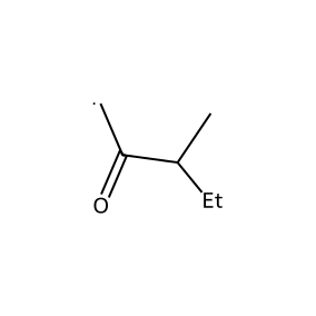 [CH2]C(=O)C(C)CC